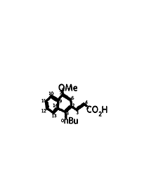 CCCCc1c(C=CC(=O)O)cc(OC)c2ccccc12